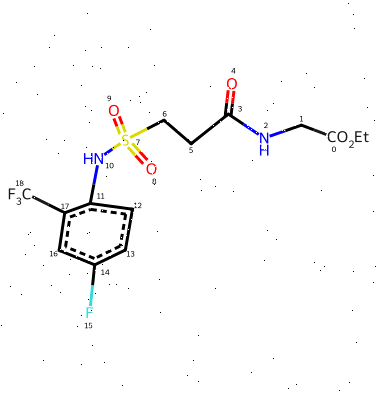 CCOC(=O)CNC(=O)CCS(=O)(=O)Nc1ccc(F)cc1C(F)(F)F